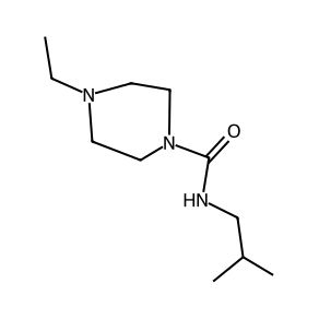 CCN1CCN(C(=O)NCC(C)C)CC1